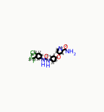 NC(=O)c1cc(Oc2ccc(NC(=O)Nc3ccc(Cl)c(C(F)(F)F)c3)cc2)ccn1